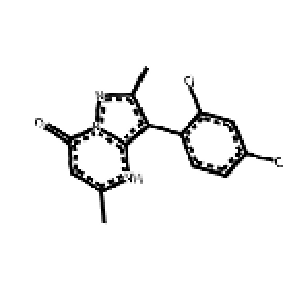 Cc1cc(=O)n2nc(C)c(-c3ccc(Cl)cc3Cl)c2[nH]1